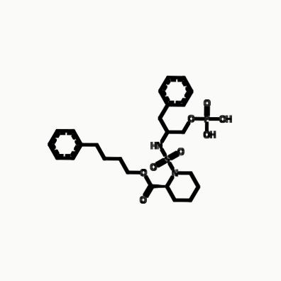 O=C(OCCCCc1ccccc1)[C@@H]1CCCCN1S(=O)(=O)NC(COP(=O)(O)O)Cc1ccccc1